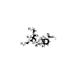 CCOC(=O)C(C)(COS(=O)(=O)ON1C(=O)[C@@H]2C[C@H]1CC[C@H]2C(N)=O)C(=O)OCC